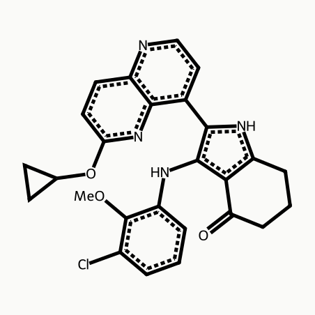 COc1c(Cl)cccc1Nc1c(-c2ccnc3ccc(OC4CC4)nc23)[nH]c2c1C(=O)CCC2